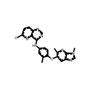 Cc1cc(Nc2ncnc3ccc(Cl)nc23)ccc1Oc1cc2ncn(C)c2nc1C